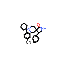 N#Cc1ccc(C2(N3CCC4(CC3)C(=O)NCC4c3ccccc3)CCCCC2)cc1